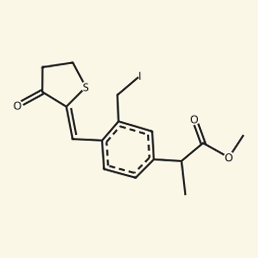 COC(=O)C(C)c1ccc(/C=C2\SCCC2=O)c(CI)c1